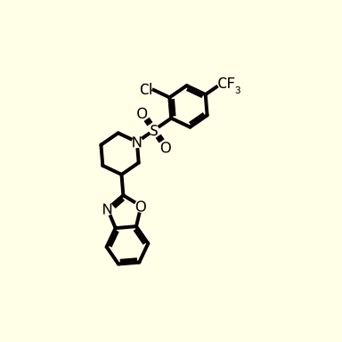 O=S(=O)(c1ccc(C(F)(F)F)cc1Cl)N1CCCC(c2nc3ccccc3o2)C1